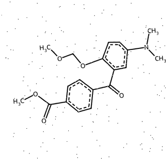 COCOc1ccc(N(C)C)cc1C(=O)c1ccc(C(=O)OC)cc1